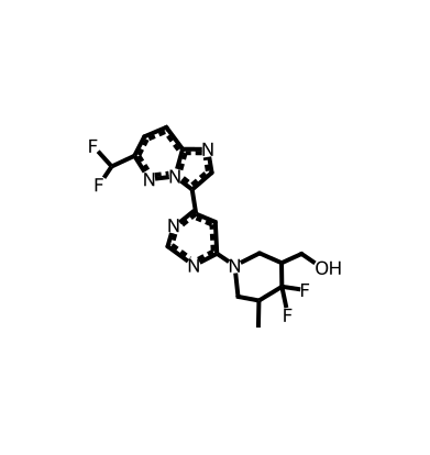 CC1CN(c2cc(-c3cnc4ccc(C(F)F)nn34)ncn2)CC(CO)C1(F)F